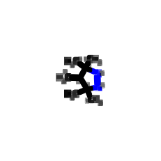 C=C1C(C)(C)N=NC1(C)C